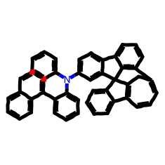 C1=CC2=C3CC(=C1)c1cccc4c1C3(c1ccccc12)c1cc(N(c2ccccc2)c2ccccc2-c2cccc3ccccc23)ccc1-4